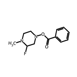 CN1CCN(OC(=O)c2ccccc2)CC1F